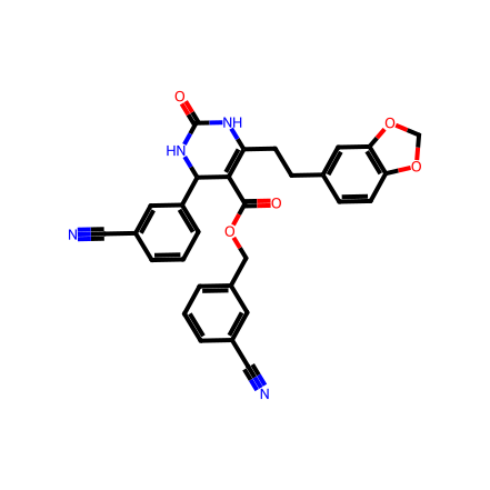 N#Cc1cccc(COC(=O)C2=C(CCc3ccc4c(c3)OCO4)NC(=O)NC2c2cccc(C#N)c2)c1